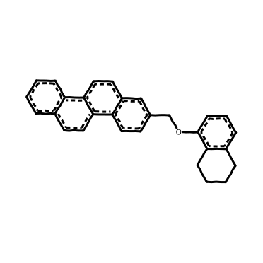 c1cc2c(c(OCc3ccc4c(ccc5c6ccccc6ccc45)c3)c1)CCCC2